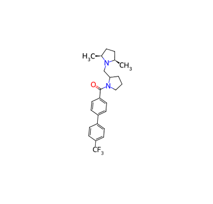 C[C@@H]1CC[C@H](C)N1CC1CCCN1C(=O)c1ccc(-c2ccc(C(F)(F)F)cc2)cc1